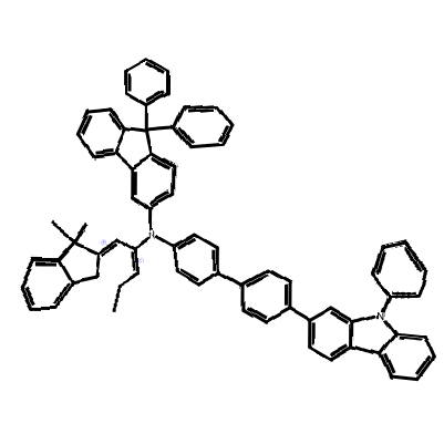 CC/C=C(\C=C1/Cc2ccccc2C1(C)C)N(c1ccc(-c2ccc(-c3ccc4c5ccccc5n(-c5ccccc5)c4c3)cc2)cc1)c1ccc2c(c1)-c1ccccc1C2(c1ccccc1)c1ccccc1